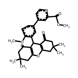 COC(=O)c1cc(-c2ccc(OC)c(C3C4=C(CC(C)(C)CC4=O)OC4=C3C(=O)CC(C)(C)C4)c2)ccn1